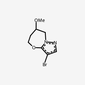 COC1CCOc2c(Br)cnn2C1